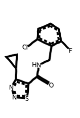 O=C(NCc1c(F)cccc1Cl)c1snnc1C1CC1